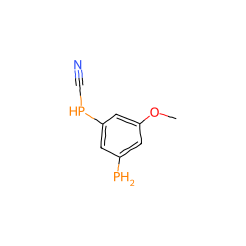 COc1cc(P)cc(PC#N)c1